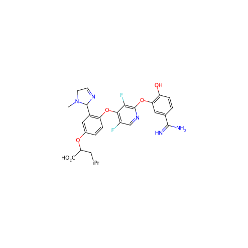 CC(C)CC(Oc1ccc(Oc2c(F)cnc(Oc3cc(C(=N)N)ccc3O)c2F)c(C2N=CCN2C)c1)C(=O)O